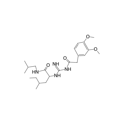 CCC(C)CC(NC(=N)NC(=O)Cc1ccc(OC)c(OC)c1)C(=O)NCC(C)C